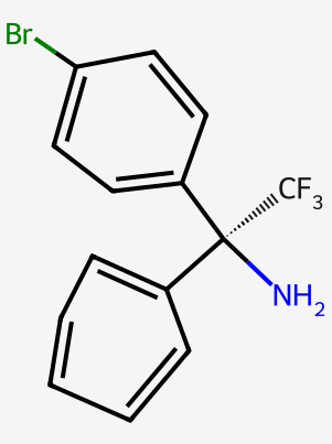 N[C@@](c1ccccc1)(c1ccc(Br)cc1)C(F)(F)F